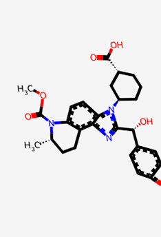 COC(=O)N1c2ccc3c(nc([C@H](O)c4ccc5ocnc5c4)n3[C@@H]3CCC[C@@H](C(=O)O)C3)c2CC[C@@H]1C